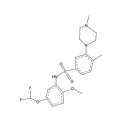 COc1ccc(OC(F)F)cc1NS(=O)(=O)c1ccc(C)c(N2CCN(C)CC2)c1